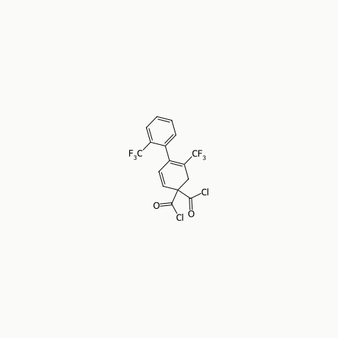 O=C(Cl)C1(C(=O)Cl)C=CC(c2ccccc2C(F)(F)F)=C(C(F)(F)F)C1